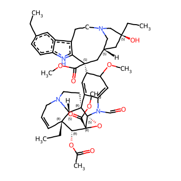 CCc1ccc2[nH]c3c(c2c1)CCN1C[C@H](C[C@@](O)(CC)C1)C[C@]3(C(=O)OC)C1C=C2C(=CC1OC)N(C=O)[C@@]13O[C@]1(C(=O)OC)[C@H](OC(C)=O)[C@]1(CC)C=CCN4CC[C@]23[C@@H]41